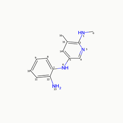 CNc1ncc(Nc2ccccc2N)cc1C